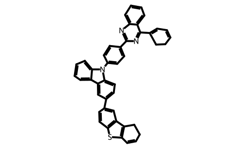 C1=CCCC(c2nc(-c3ccc(-n4c5ccccc5c5cc(-c6ccc7sc8c(c7c6)CCC=C8)ccc54)cc3)nc3ccccc23)=C1